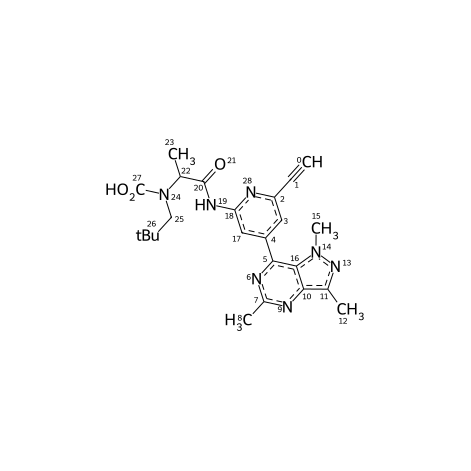 C#Cc1cc(-c2nc(C)nc3c(C)nn(C)c23)cc(NC(=O)C(C)N(CC(C)(C)C)C(=O)O)n1